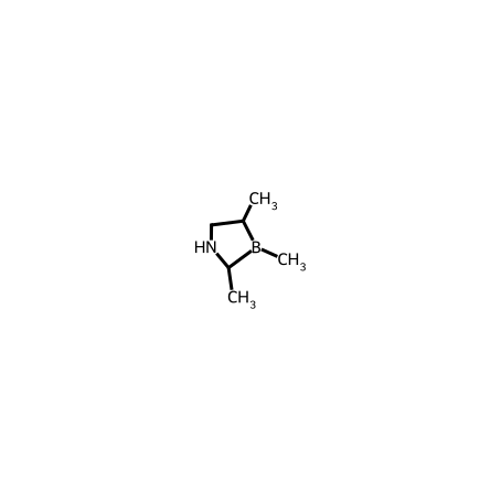 CB1C(C)CNC1C